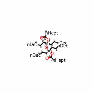 CCCCCCCCCCC[CH2][Sn]([CH2]CCCCCCCCCCC)([O]C(=O)CCCCCCC)[O][Sn]([CH2]CCCCCCCCCCC)([CH2]CCCCCCCCCCC)[O]C(=O)CCCCCCC